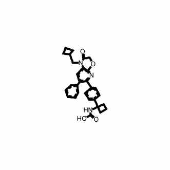 O=C(O)NC1(c2ccc(-c3nc4c(cc3-c3ccccc3)N(CC3CCC3)C(=O)CO4)cc2)CCC1